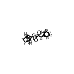 O=C(OC1C[C@H]2CC[C@@H](C1)N2)[C@H](O)Cc1ccccc1